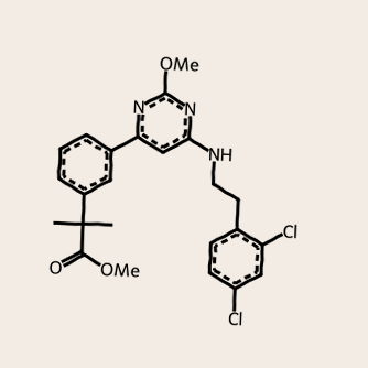 COC(=O)C(C)(C)c1cccc(-c2cc(NCCc3ccc(Cl)cc3Cl)nc(OC)n2)c1